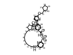 CC1(C)CCC2CCCCCCCNc3cccc(n3)S(=O)(=O)NC(=O)c3ccc(-n4ccc(OCC5CCCC5)n4)nc3N21